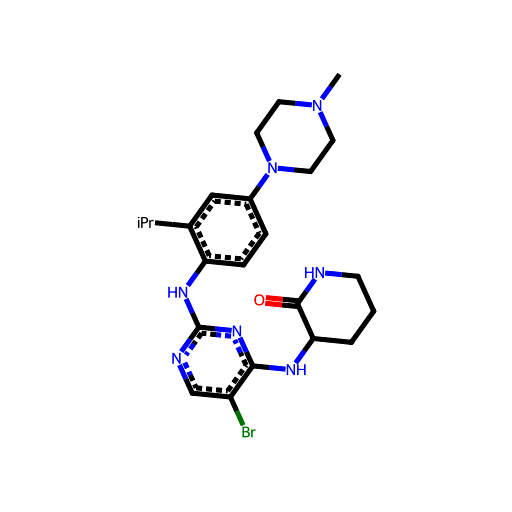 CC(C)c1cc(N2CCN(C)CC2)ccc1Nc1ncc(Br)c(NC2CCCNC2=O)n1